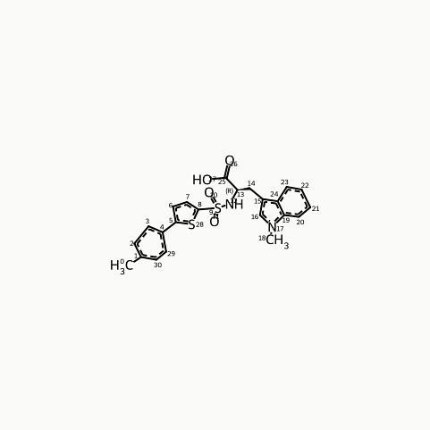 Cc1ccc(-c2ccc(S(=O)(=O)N[C@H](Cc3cn(C)c4ccccc34)C(=O)O)s2)cc1